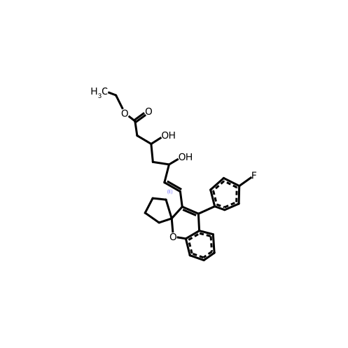 CCOC(=O)CC(O)CC(O)/C=C/C1=C(c2ccc(F)cc2)c2ccccc2OC12CCCC2